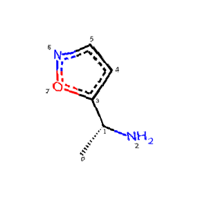 C[C@@H](N)c1ccno1